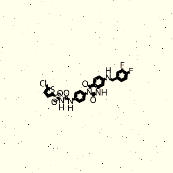 O=C(Nc1ccc(-n2c(=O)[nH]c3cc(NCc4ccc(F)c(F)c4)ccc3c2=O)cc1)NS(=O)(=O)c1ccc(Cl)s1